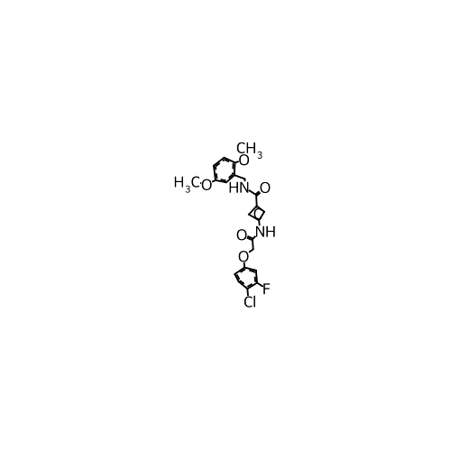 COc1ccc(OC)c(CNC(=O)C23CC(NC(=O)COc4ccc(Cl)c(F)c4)(C2)C3)c1